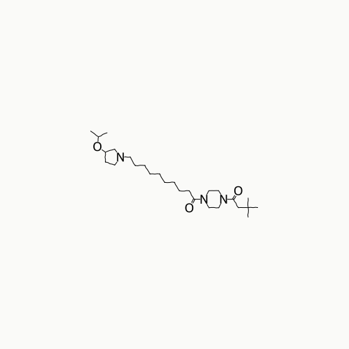 CC(C)OC1CCN(CCCCCCCCCC(=O)N2CCN(C(=O)CC(C)(C)C)CC2)C1